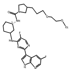 CCOCCOCCCC1CCN(C(=O)N[C@H]2CCCC(Nc3nc(-c4c[nH]c5ncc(F)cc45)ncc3F)C2)C1